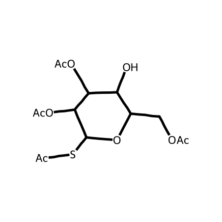 CC(=O)OCC1OC(SC(C)=O)C(OC(C)=O)C(OC(C)=O)C1O